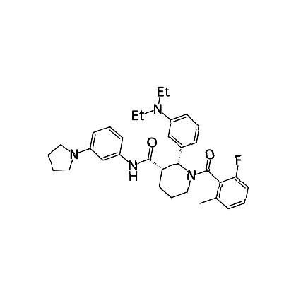 CCN(CC)c1cccc([C@H]2[C@@H](C(=O)Nc3cccc(N4CCCC4)c3)CCCN2C(=O)c2c(C)cccc2F)c1